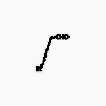 CCC=CCC=CCC=CCC=CCC=CC/C=C\CC[C]=O